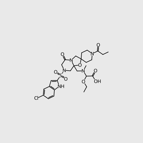 CCOC(C(=O)O)N(C)CC12CN(S(=O)(=O)c3cc4cc(Cl)ccc4[nH]3)CC(=O)N1CC1(CCN(C(=O)CC)CC1)O2